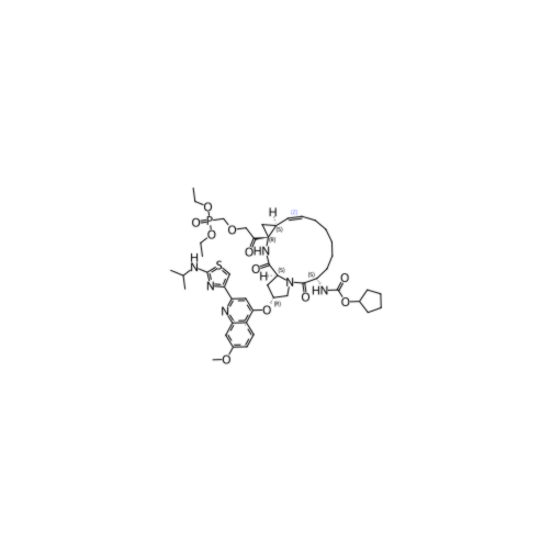 CCOP(=O)(COCC(=O)[C@@]12C[C@H]1/C=C\CCCCC[C@H](NC(=O)OC1CCCC1)C(=O)N1C[C@H](Oc3cc(-c4csc(NC(C)C)n4)nc4cc(OC)ccc34)C[C@H]1C(=O)N2)OCC